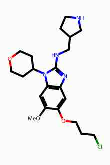 COc1cc2c(cc1OCCCCl)nc(NCC1CCNC1)n2C1CCOCC1